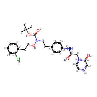 CC(C)(C)OC(=O)N(CCc1ccc(NC(=O)Cn2ccncc2=O)cc1)OCCc1ccccc1Cl